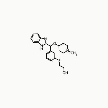 CN1CCC(OC(c2cccc(SCCO)c2)c2nc3ccccc3[nH]2)CC1